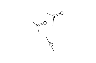 CS(C)=O.CS(C)=O.[CH3][Pt][CH3]